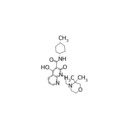 CC1(C)COCCN1CCn1c(=O)c(C(=O)N[C@H]2CC[C@@H](C)CC2)c(O)c2cccnc21